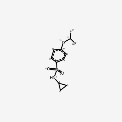 O=S(=O)(NC1CC1)c1ccc(OC(F)F)cc1